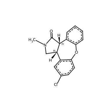 CN1C[C@H]2c3cc(Cl)ccc3Oc3ccccc3[C@H]2C1=O